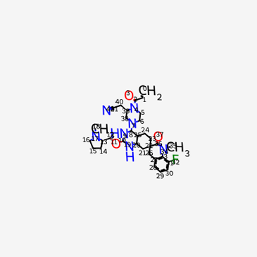 C=CC(=O)N1CCN(C2NC(OC[C@H]3CCCN3C)NC3C[C@]4(CCC32)Cc2cccc(F)c2N(C)C4=O)C[C@H]1CC#N